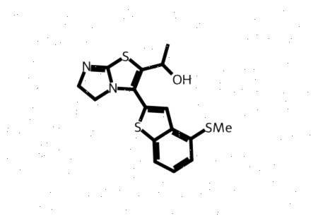 CSc1cccc2sc(C3=C(C(C)O)SC4=NCCN43)cc12